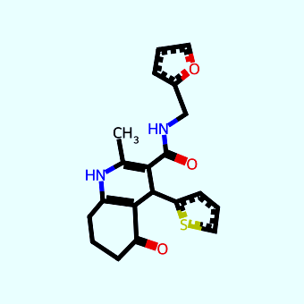 CC1=C(C(=O)NCc2ccco2)C(c2cccs2)C2=C(CCCC2=O)N1